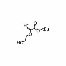 C=C(OCCO)C(=O)OC(C)(C)C.[H+]